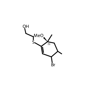 CO[C@@]1(C)CC(C)C(Br)C=C1SCCO